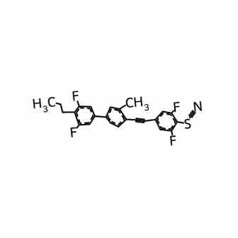 CCCc1c(F)cc(-c2ccc(C#Cc3cc(F)c(SC#N)c(F)c3)c(C)c2)cc1F